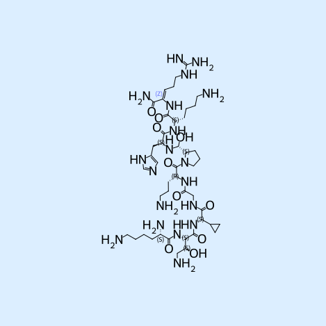 N=C(N)NCC/C=C(\NC(=O)[C@H](CCCCN)NC(=O)[C@H](Cc1cnc[nH]1)NC(O)[C@@H]1CCCN1C(=O)[C@@H](CCCN)NC(=O)CNC(=O)[C@@H](NC(=O)[C@@H](NC(=O)[C@@H](N)CCCCN)[C@@H](O)CN)C1CC1)C(N)=O